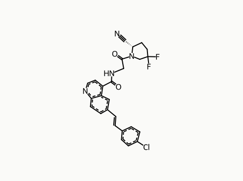 N#C[C@@H]1CCC(F)(F)CN1C(=O)CNC(=O)c1ccnc2ccc(/C=C/c3ccc(Cl)cc3)cc12